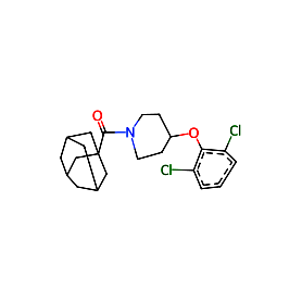 O=C(N1CCC(Oc2c(Cl)cccc2Cl)CC1)C12CC3CC(CC(C3)C1)C2